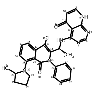 C[C@H](Nc1ncnc2[nH]ccc(=O)c12)c1c(Cl)c2cccc(N3CCCC3O)c2c(=O)n1-c1ccccc1